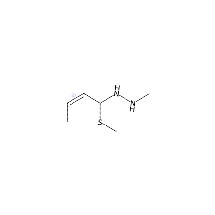 C/C=C\C(NNC)SC